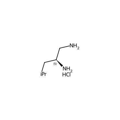 CC(C)C[C@H](N)CN.Cl